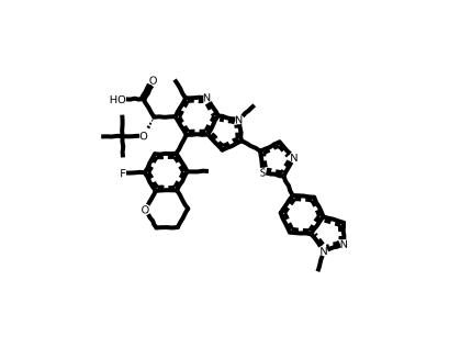 Cc1nc2c(cc(-c3cnc(-c4ccc5c(cnn5C)c4)s3)n2C)c(-c2cc(F)c3c(c2C)CCCO3)c1[C@H](OC(C)(C)C)C(=O)O